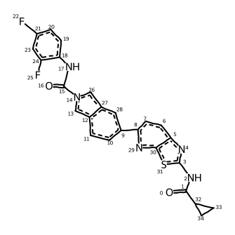 O=C(Nc1nc2ccc(-c3ccc4cn(C(=O)Nc5ccc(F)cc5F)cc4c3)nc2s1)C1CC1